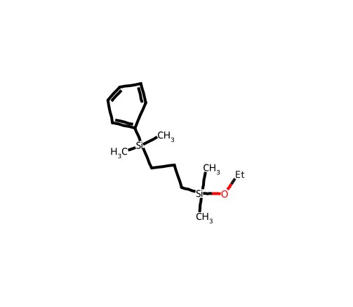 CCO[Si](C)(C)CCC[Si](C)(C)c1ccccc1